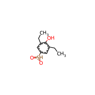 CCc1cc([SH](=O)=O)cc(CC)c1O